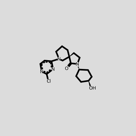 O=C1N([C@H]2CC[C@H](O)CC2)CC[C@@]12CCCN(c1ccnc(Cl)n1)C2